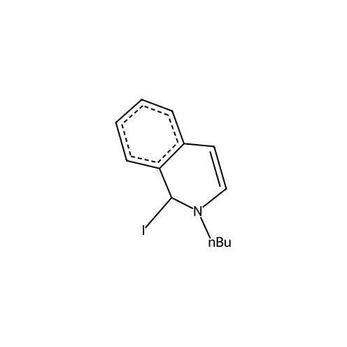 CCCCN1C=Cc2ccccc2C1I